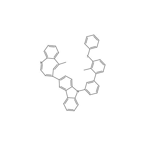 C\C1=C/C(c2ccc3c(c2)c2ccccc2n3-c2cccc(-c3cccc(Sc4ccccc4)c3C)c2)=C\C=N/c2ccccc21